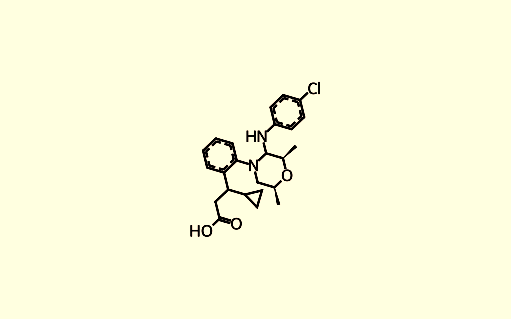 C[C@H]1CN(c2ccccc2C(CC(=O)O)C2CC2)C(Nc2ccc(Cl)cc2)[C@@H](C)O1